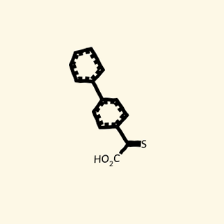 O=C(O)C(=S)c1ccc(-c2ccccc2)cc1